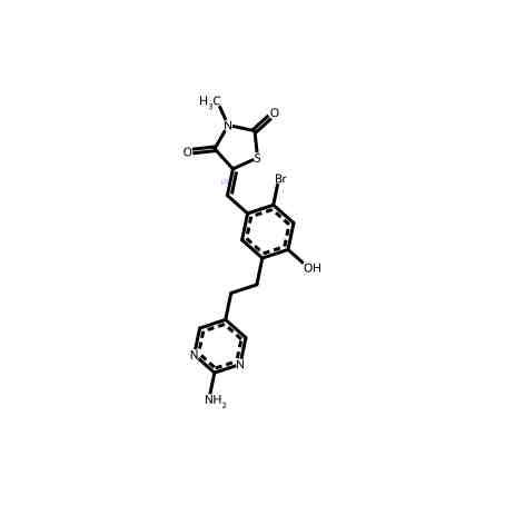 CN1C(=O)S/C(=C\c2cc(CCc3cnc(N)nc3)c(O)cc2Br)C1=O